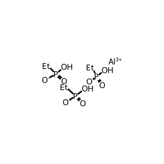 CCP(=O)([O-])O.CCP(=O)([O-])O.CCP(=O)([O-])O.[Al+3]